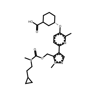 Cc1nc(-c2cnn(C)c2COC(=O)N(C)CCC2CC2)ccc1O[C@H]1CCCC(C(=O)O)C1